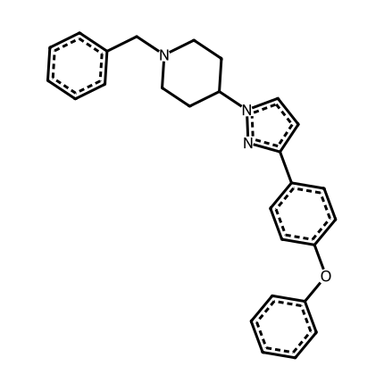 c1ccc(CN2CCC(n3ccc(-c4ccc(Oc5ccccc5)cc4)n3)CC2)cc1